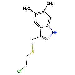 Cc1cc2[nH]cc(CSCCCl)c2cc1C